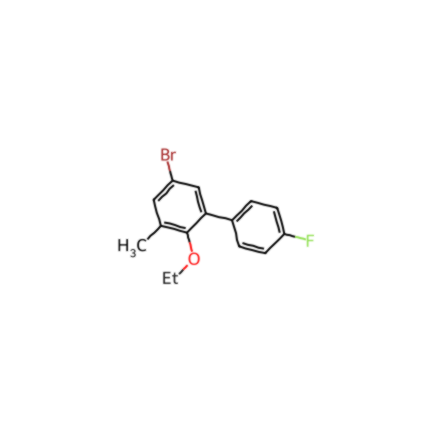 CCOc1c(C)cc(Br)cc1-c1ccc(F)cc1